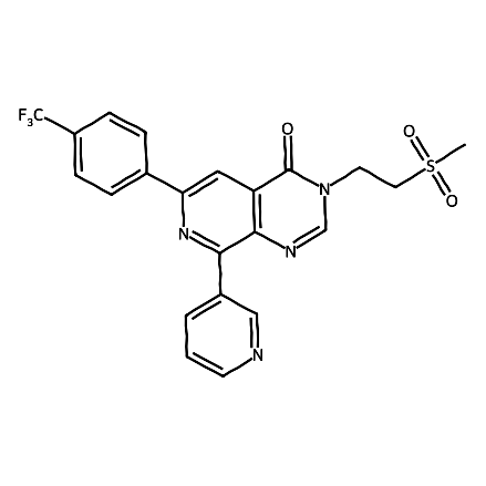 CS(=O)(=O)CCn1cnc2c(-c3cccnc3)nc(-c3ccc(C(F)(F)F)cc3)cc2c1=O